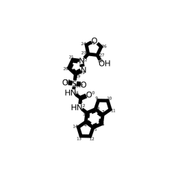 O=C(Nc1c2c(cc3c1CCC3)CCC2)NS(=O)(=O)c1ccn(C2COCC2O)n1